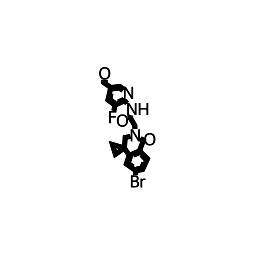 O=Cc1cnc(NC(=O)CN2CC3(CC3)c3cc(Br)ccc3C2=O)c(F)c1